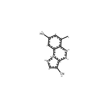 Cc1cc(O)cc2c1nnc1c(C#N)cnn12